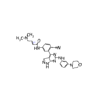 CN(C)C/C=C/C(=O)Nc1ccc(C#N)c(-c2nc(Nc3cccc(N4CCOCC4)c3)nc3[nH]ncc23)c1